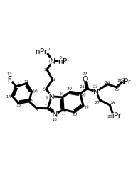 CCCN(CCC)CCCn1c(Cc2ccc(F)cc2)nc2ccc(C(=O)N(CCC(C)C)CCC(C)C)cc21